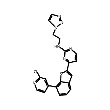 Clc1cc(-c2cccc3cc(-c4ccnc(NCCn5ccnn5)n4)sc23)ccn1